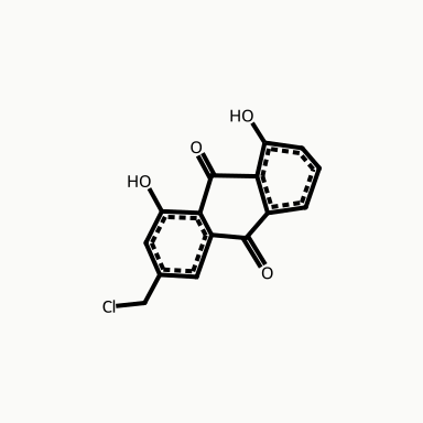 O=C1c2cccc(O)c2C(=O)c2c(O)cc(CCl)cc21